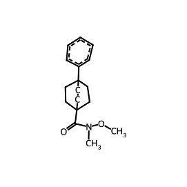 CON(C)C(=O)C12CCC(c3ccccc3)(CC1)CC2